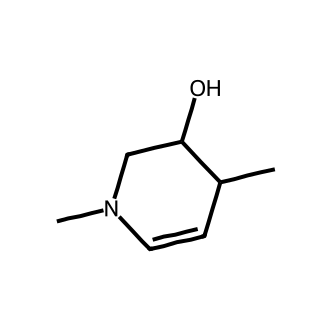 CC1C=CN(C)CC1O